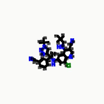 [2H]C(Nc1cc(Cl)c2ncc(C#N)c(NCC(C)(C)C)c2c1)(c1cccc(C#N)c1)c1cn(C(C)(C)C)nn1